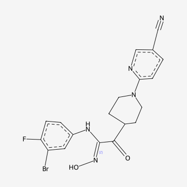 N#Cc1ccc(N2CCC(C(=O)/C(=N/O)Nc3ccc(F)c(Br)c3)CC2)nc1